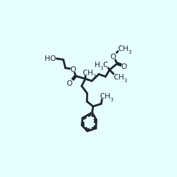 CCC(CCCC(C)(CCCC(C)(C)C(=O)OC)C(=O)OCCO)c1ccccc1